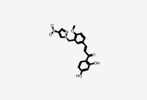 COc1ccc(/C=C/C(=O)c2ccc(O)cc2O)cc1Cn1cc([N+](=O)[O-])cn1